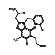 CCOC(=O)C(CC)Sc1nc2c(c(=O)n(CCOC)c(=O)n2C)n1Cc1cccc(Br)c1